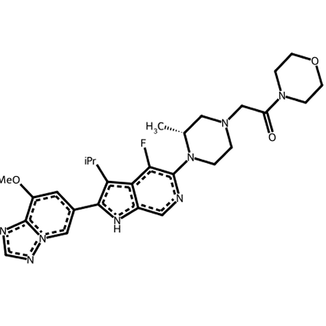 COc1cc(-c2[nH]c3cnc(N4CCN(CC(=O)N5CCOCC5)C[C@H]4C)c(F)c3c2C(C)C)cn2ncnc12